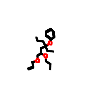 C=CCOCC(CC(CC)(CCC)Oc1ccccc1)OCCC